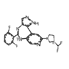 Fc1cccc(F)c1C1=Nc2cn[nH]c2-c2cc(N3CC[C@@H](C(F)F)C3)ncc2N1